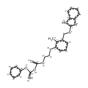 Cc1c(CSc2nc3ccccc3[nH]2)cccc1SCCOC(=O)OC(=N)Oc1ccccc1